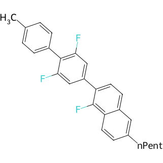 CCCCCc1ccc2c(F)c(-c3cc(F)c(-c4ccc(C)cc4)c(F)c3)ccc2c1